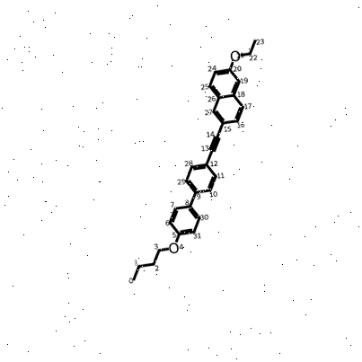 CCCCOc1ccc(-c2ccc(C#Cc3ccc4cc(OCC)ccc4c3)cc2)cc1